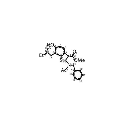 CCN(CC)Cc1c(O)ccc2c1SC(N(Cc1ccccc1)C(C)=O)C2C(=O)OC